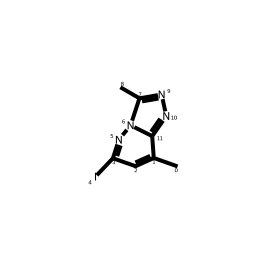 Cc1cc(I)nn2c(C)nnc12